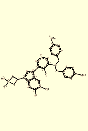 COc1ccc(CN(Cc2ccc(OC)cc2)c2cncc(-c3cn(C4CS(O)(O)C4)c4cc(C)c(C#N)cc34)c2Cl)cc1